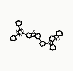 c1ccc(-c2nc(-c3ccccc3)nc(-c3ccc4c(c3)sc3ccc(-c5cccc(-n6c7ccccc7c7c8oc9ccccc9c8ccc76)c5)cc34)n2)cc1